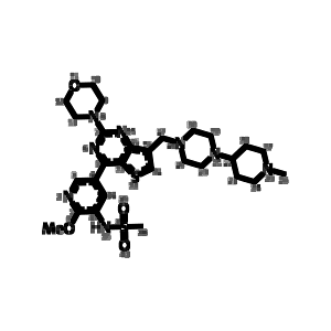 COc1ncc(-c2nc(N3CCOCC3)nc3c(CN4CCN(C5CCN(C)CC5)CC4)csc23)cc1NS(C)(=O)=O